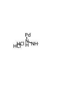 Cl.Cl.[NH][NH][Pd]